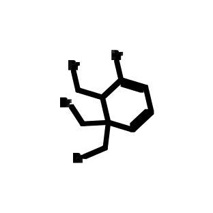 BrCC1C(Br)=CC=CC1(CBr)CBr